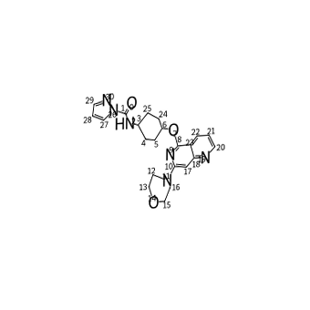 O=C(NC1CCC(Oc2nc(N3CCOCC3)cc3ncccc23)CC1)n1cccn1